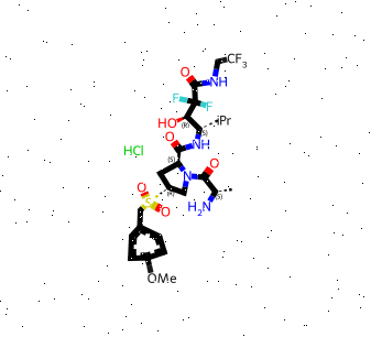 COc1ccc(CS(=O)(=O)[C@@H]2C[C@@H](C(=O)N[C@@H](C(C)C)[C@@H](O)C(F)(F)C(=O)NCC(F)(F)F)N(C(=O)[C@H](C)N)C2)cc1.Cl